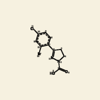 O=C(O)N1CCC(c2ccc(Cl)cc2Br)=N1